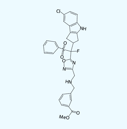 COC(=O)c1cccc(CNCc2noc(C(F)(C3Cc4[nH]c5ccc(Cl)cc5c4C3)S(=O)(=O)c3ccccc3)n2)c1